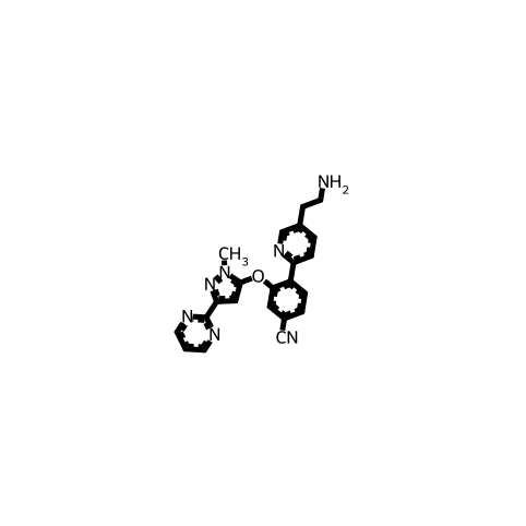 Cn1nc(-c2ncccn2)cc1Oc1cc(C#N)ccc1-c1ccc(CCN)cn1